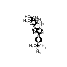 CC(C)(C)N1CCN(c2ncnc3c2ncn3[C@@H]2OC(C)(CO)C(C)(O)C2(C)O)CC1